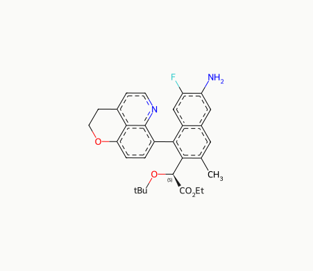 CCOC(=O)[C@@H](OC(C)(C)C)c1c(C)cc2cc(N)c(F)cc2c1-c1ccc2c3c(ccnc13)CCO2